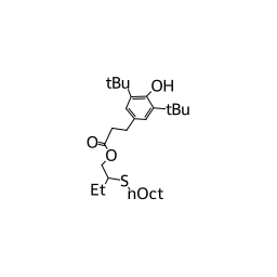 CCCCCCCCSC(CC)COC(=O)CCc1cc(C(C)(C)C)c(O)c(C(C)(C)C)c1